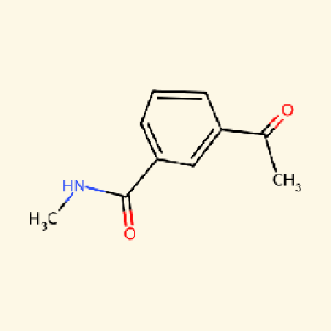 CNC(=O)c1cccc(C(C)=O)c1